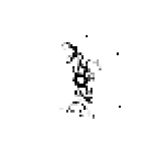 CCN(CC)S(=O)(=O)Oc1ccc2c(c1)C(C)(C)C(OC(=O)CCl)O2